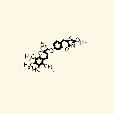 Cc1c(C)c2c(c(C)c1O)CCC(C)(COc1ccc(CC3SC(OC(C)C)=NC3=O)cc1)O2